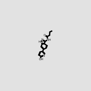 CCCC(=O)Nc1n[nH]c2cc(-c3ccc(O)nc3)ccc12